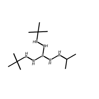 CC(C)BBB(BBC(C)(C)C)BBC(C)(C)C